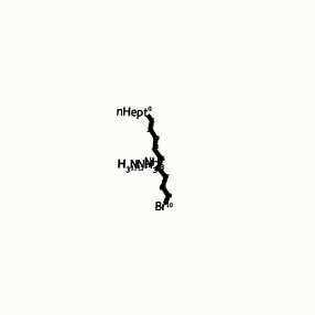 CCCCCCCCCCCCCCCCBr.N.N.N